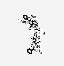 COc1cccc(OC)c1C(=O)N[C@@H]1C(=O)N2[C@@H](C(=O)OCOC(=O)[C@@H]3N4C(=O)C(NC(=O)C(N)c5ccccc5)[C@H]4SC3(C)C)C(C)(C)S(=O)(=O)[C@H]12.Cl